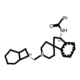 CC(C)C(=O)N[C@H]1CC2(CCN(C[C@H]3CC4CCCCC43)CC2)c2ccccc21